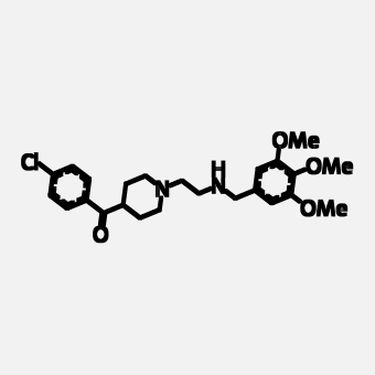 COc1cc(CNCCN2CCC(C(=O)c3ccc(Cl)cc3)CC2)cc(OC)c1OC